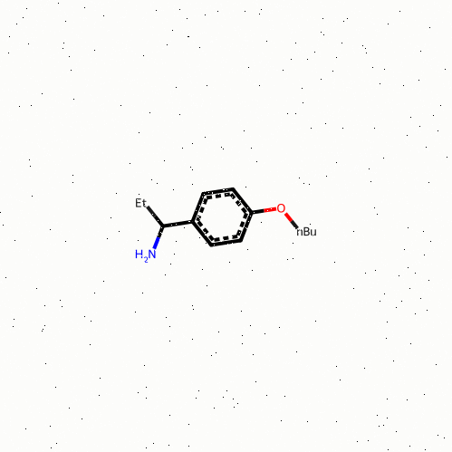 CCCCOc1ccc(C(N)CC)cc1